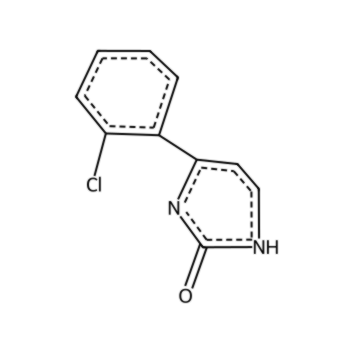 O=c1nc(-c2ccccc2Cl)cc[nH]1